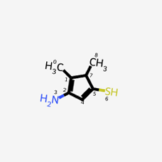 CC1=C(N)C=C(S)C1C